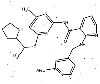 COc1cc(CNc2ncccc2C(=O)Nc2nc(C)cc(OC(C)C3CCCN3)n2)ccn1